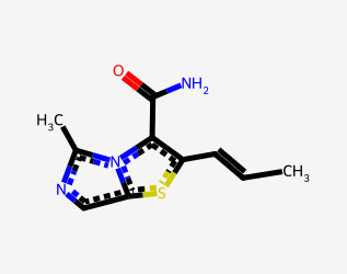 CC=Cc1sc2cnc(C)n2c1C(N)=O